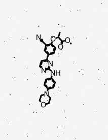 COC(=O)C(C)Oc1ccc(-c2ccnc(Nc3ccc(N4CCOCC4)cc3)n2)cc1C#N